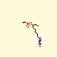 C=CC(=O)OC(CC)CC[CH]CCN=C=O